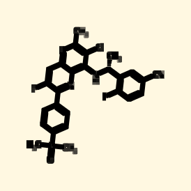 Cc1nc2cc(F)c(-c3ccc(P(C)(C)=O)cc3)nc2c(N[C@H](C)c2cc(C#N)ccc2F)c1Cl